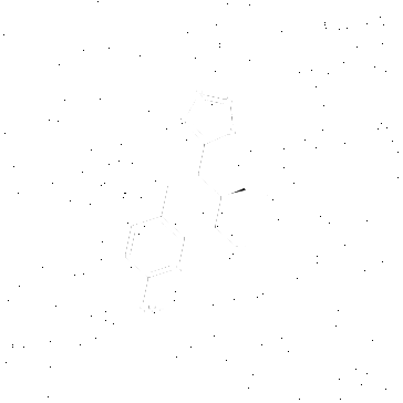 CNc1ccc(C[C@H](c2nnn[nH]2)[C@H](CC(C)C)C(=O)O)cn1